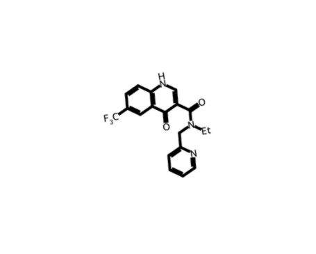 CCN(Cc1ccccn1)C(=O)c1c[nH]c2ccc(C(F)(F)F)cc2c1=O